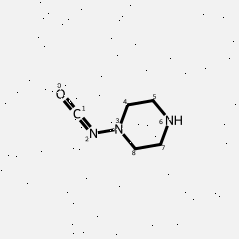 O=C=NN1CCNCC1